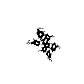 CC(C)c1ccc(N(c2ccc(C(C)C)cc2)c2cc3c4cc(C(C)C)ccc4c(N(c4ccc(C(C)C)cc4)c4ccc(C(C)C)cc4)cc3c3cc(C(C)C)ccc23)cc1